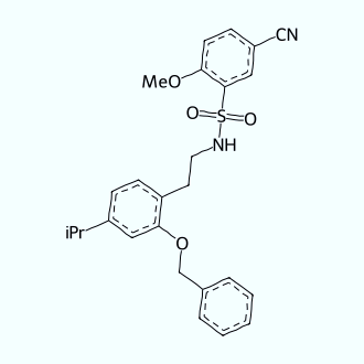 COc1ccc(C#N)cc1S(=O)(=O)NCCc1ccc(C(C)C)cc1OCc1ccccc1